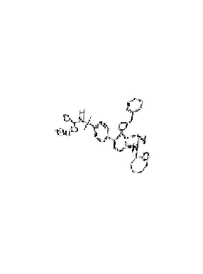 CC(C)(C)OC(=O)NC(C)(C)c1ccc(-c2ccc3c(cnn3C3CCCCO3)c2OCc2ccccc2)cc1